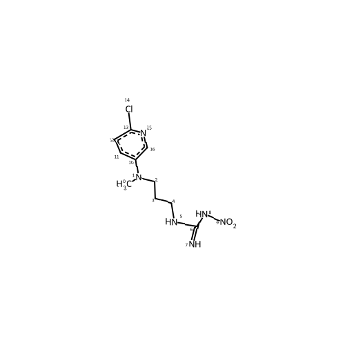 CN(CCCNC(=N)N[N+](=O)[O-])c1ccc(Cl)nc1